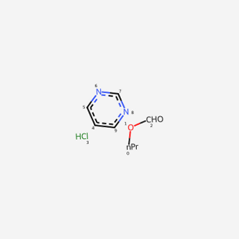 CCCOC=O.Cl.c1cncnc1